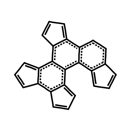 C1=Cc2c3c(c4c(c5c(c6ccc7c(c64)=CC=C7)=CC=C5)c2=C1)=CC=C3